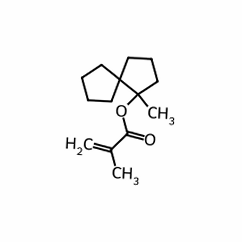 C=C(C)C(=O)OC1(C)CCCC12CCCC2